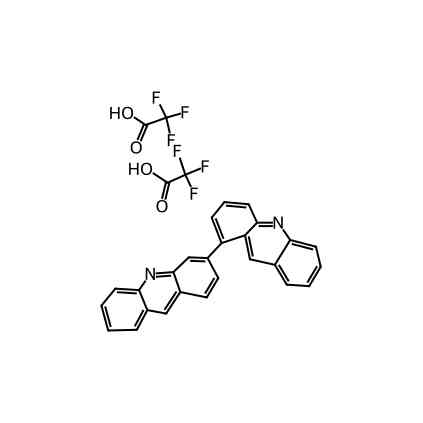 O=C(O)C(F)(F)F.O=C(O)C(F)(F)F.c1ccc2nc3cc(-c4cccc5nc6ccccc6cc45)ccc3cc2c1